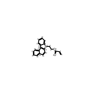 C=CC(=O)OCCn1c2ccccc2c2c3ccccc3ccc21